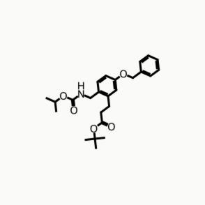 CC(C)OC(=O)NCc1ccc(OCc2ccccc2)cc1CCC(=O)OC(C)(C)C